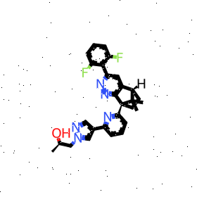 C[C@@H](O)Cn1cc(-c2cccc([C@@]34CC[C@@H](c5cc(-c6c(F)cccc6F)nnc53)C4(C)C)n2)cn1